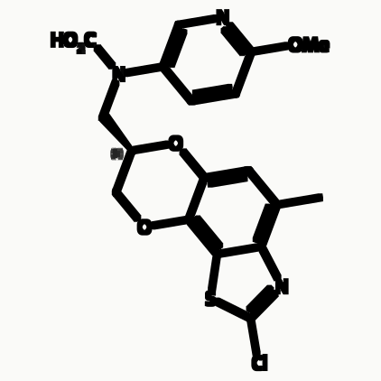 COc1ccc(N(C[C@@H]2COc3c(cc(C)c4nc(Cl)sc34)O2)C(=O)O)cn1